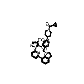 CCOC(=O)c1cnn(-c2cccc(-c3cccc4c3N(Cc3ccc(C5CCN(C(=O)C6CC6)CC5)cc3)CC4)n2)c1C(F)(F)F